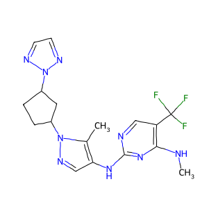 CNc1nc(Nc2cnn(C3CCC(n4nccn4)C3)c2C)ncc1C(F)(F)F